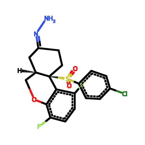 N/N=C1\CC[C@@]2(S(=O)(=O)c3ccc(Cl)cc3)c3c(F)ccc(F)c3OC[C@H]2C1